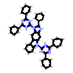 C1=CCC(c2nc3cc4c(cc3n2-c2nc(-c3ccccc3)nc(-c3ccccc3)n2)c2ccccc2n4-c2nc(-c3ccccc3)nc(-c3ccccc3)n2)C=C1